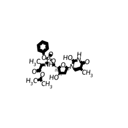 CC1=CN([C@@H]2C[C@@H](O)[C@H](COP(=O)(N[C@@H](C)C(=O)OC(C)C)Oc3ccccc3)O2)C(O)NC1=O